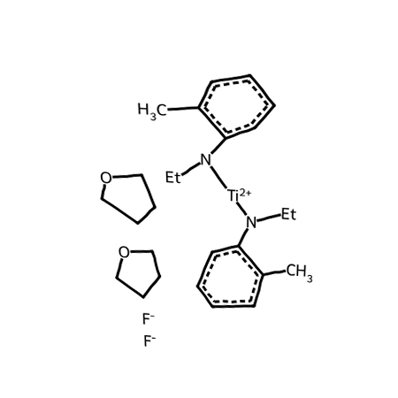 C1CCOC1.C1CCOC1.CC[N]([Ti+2][N](CC)c1ccccc1C)c1ccccc1C.[F-].[F-]